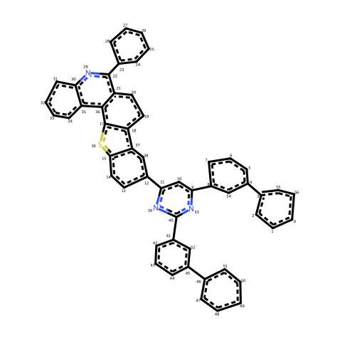 c1ccc(-c2cccc(-c3cc(-c4ccc5sc6c(ccc7c(-c8ccccc8)nc8ccccc8c76)c5c4)nc(-c4cccc(-c5ccccc5)c4)n3)c2)cc1